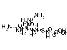 NCCCCC(N)C(=O)NCCN(CCNCC(=O)NCCSSCCNC(=O)CCC(=O)OCC(O)CO)CCNC(=O)C(N)CCCCN